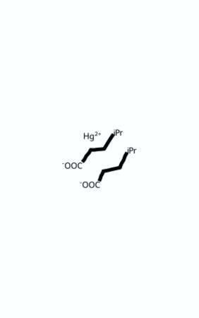 CC(C)CCC(=O)[O-].CC(C)CCC(=O)[O-].[Hg+2]